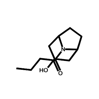 CCCC(=O)N1C2CCC1CC(O)C2